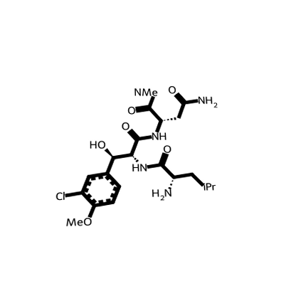 CNC(=O)[C@H](CC(N)=O)NC(=O)[C@H](NC(=O)[C@@H](N)CC(C)C)[C@H](O)c1ccc(OC)c(Cl)c1